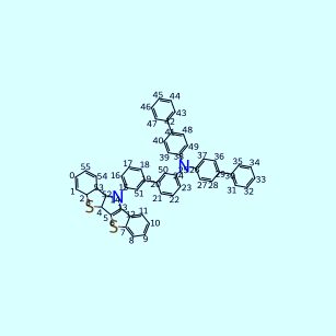 C1=CC2SC3c4sc5ccccc5c4N(c4cccc(-c5cccc(N(c6ccc(-c7ccccc7)cc6)c6ccc(-c7ccccc7)cc6)c5)c4)C3C2C=C1